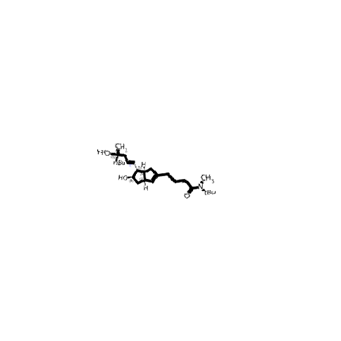 CCCC[C@](C)(O)C/C=C/[C@@H]1[C@H]2CC(CCCC(=O)N(C)C(C)(C)C)=C[C@H]2C[C@H]1O